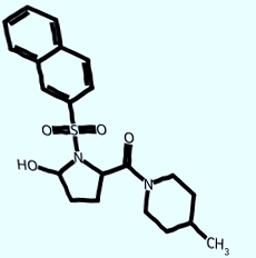 CC1CCN(C(=O)C2CCC(O)N2S(=O)(=O)c2ccc3ccccc3c2)CC1